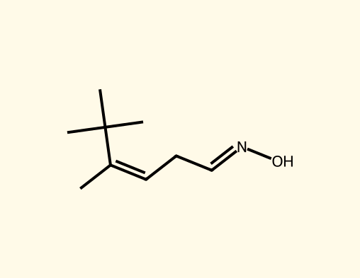 CC(=CCC=NO)C(C)(C)C